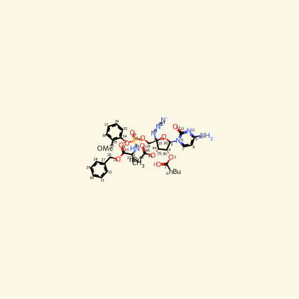 CCCCC(=O)O[C@H]1[C@H](n2ccc(N)nc2=O)O[C@@](COP(=O)(N[C@@H](C)C(=O)OCc2ccccc2)Oc2ccccc2OC)(N=[N+]=[N-])[C@H]1OC(=O)CCCC